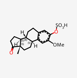 COc1cc2c(cc1OS(=O)(=O)O)CC[C@@H]1[C@@H]2CC[C@]2(C)C(=O)CC[C@@H]12